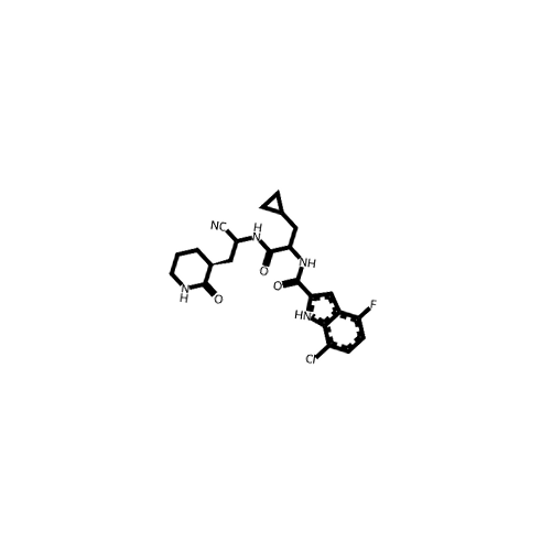 N#CC(C[C@@H]1CCCNC1=O)NC(=O)C(CC1CC1)NC(=O)c1cc2c(F)ccc(Cl)c2[nH]1